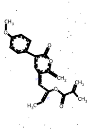 C=C(C)C(=O)OC(/C=c1/cc(-c2ccc(OC)cc2)c(=O)oc1=C)=C/C